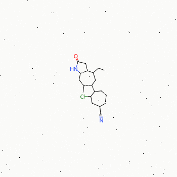 CCC1CC(C2CCCC(C#N)CC2Cl)C(C)CC2NC(=O)CC12